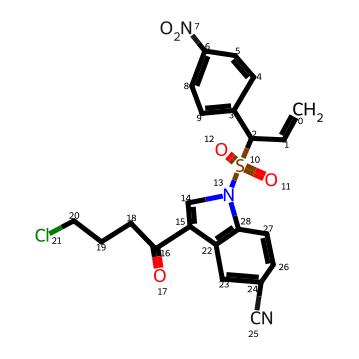 C=CC(c1ccc([N+](=O)[O-])cc1)S(=O)(=O)n1cc(C(=O)CCCCl)c2cc(C#N)ccc21